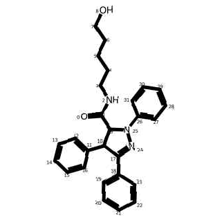 O=C(NCCCCCO)C1C(c2ccccc2)C(c2ccccc2)=NN1c1ccccc1